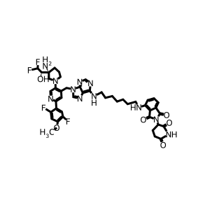 COc1cc(F)c(-c2cc(Cn3cnc4c(NCCCCCCCNc5cccc6c5C(=O)N(C5CCC(=O)NC5=O)C6=O)ncnc43)c(N3CCC[C@](N)([C@H](O)C(F)F)C3)cn2)cc1F